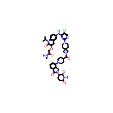 CNC(=O)COc1cc2cc(Nc3nc(N4CCC5(CC4)CN(C(=O)C4CCN(c6cccc7c6CN(C6CCC(=O)NC6=O)C7=O)CC4)C5)ncc3Cl)ccc2n(C(C)C)c1=O